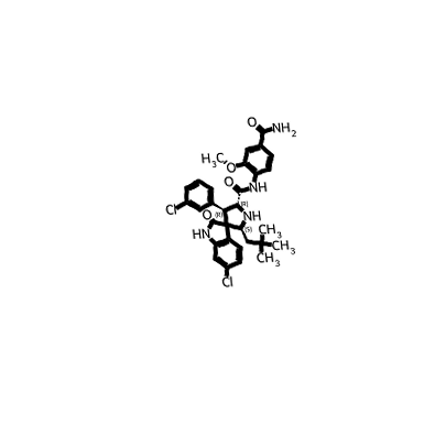 COc1cc(C(N)=O)ccc1NC(=O)[C@@H]1N[C@@H](CC(C)(C)C)C2(C(=O)Nc3cc(Cl)ccc32)[C@H]1c1cccc(Cl)c1